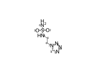 NS(=O)(=O)NCCn1[c]nnn1